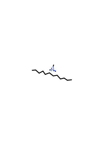 CCCCCCCCCCCC.CN(C)C